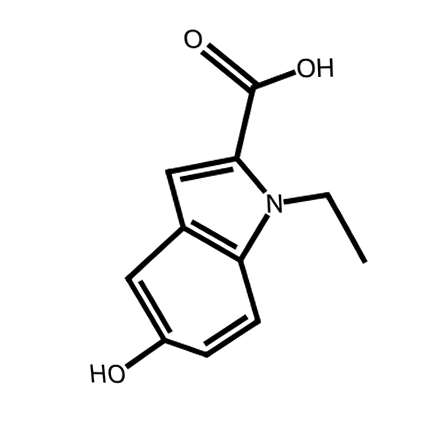 CCn1c(C(=O)O)cc2cc(O)ccc21